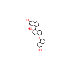 Oc1ccc2c(Oc3cccc4c(-c5cccc6cc(O)ccc56)c(O)ccc34)cccc2c1